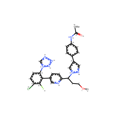 CCOCCC(c1ccc(-c2c(-n3cnnn3)ccc(Cl)c2F)cn1)n1cc(-c2ccc(NC(=O)OC)cc2)cn1